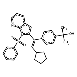 CC(C)(O)c1ccc(/C(=C\C2CCCC2)c2cc3cccnc3n2S(=O)(=O)c2ccccc2)cc1